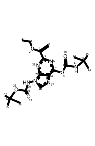 C=C(OCC)c1nc(OC(=O)NC(C)(C)C)c2ncn(NC(=O)OC(C)(C)C)c2n1